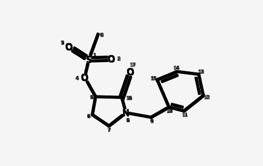 CS(=O)(=O)OC1CCN(Cc2ccccc2)C1=O